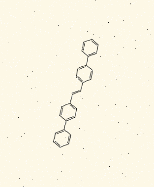 C(=C\c1ccc(-c2ccccc2)cc1)/c1ccc(-c2ccccc2)cc1